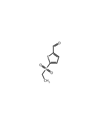 CCS(=O)(=O)c1ccc([C]=O)s1